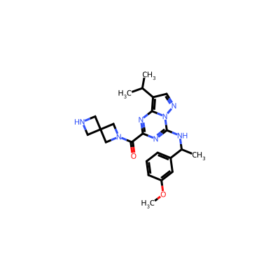 COc1cccc(C(C)Nc2nc(C(=O)N3CC4(CNC4)C3)nc3c(C(C)C)cnn23)c1